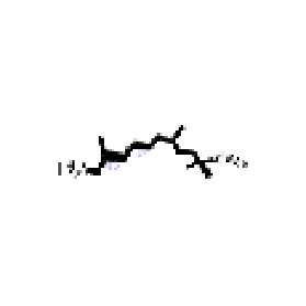 COC(C)(C)CCC(C)C/C=C/C=C(\C)CN